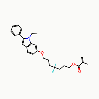 C=C(C)C(=O)OCCCC(F)(F)CCCOc1ccc2cc(-c3ccccc3)n(CC)c2c1